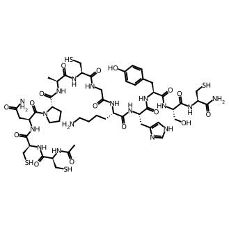 CC(=O)N[C@@H](CS)C(=O)N[C@@H](CS)C(=O)N[C@@H](CC(N)=O)C(=O)N1CCC[C@H]1C(=O)N[C@@H](C)C(=O)N[C@@H](CS)C(=O)NCC(=O)N[C@@H](CCCCN)C(=O)N[C@@H](Cc1c[nH]cn1)C(=O)N[C@@H](Cc1ccc(O)cc1)C(=O)N[C@@H](CO)C(=O)N[C@@H](CS)C(N)=O